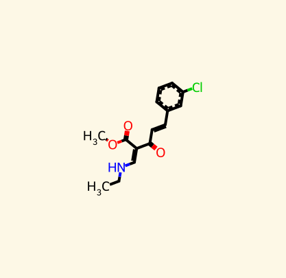 CCNC=C(C(=O)C=Cc1cccc(Cl)c1)C(=O)OC